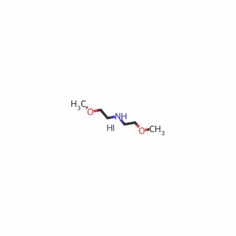 COCCNCCOC.I